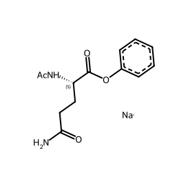 CC(=O)N[C@@H](CCC(N)=O)C(=O)Oc1ccccc1.[Na]